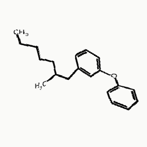 CCCCCC(C)Cc1cccc(Oc2ccccc2)c1